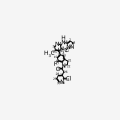 Cc1cnc(Nc2ccnn2C)nc1-c1cc(F)c2c(c1)CCN2C(=O)Cc1cccnc1Cl